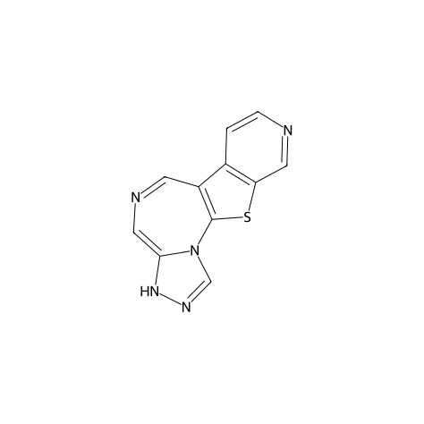 C1=NC=C2NN=CN2c2sc3cnccc3c21